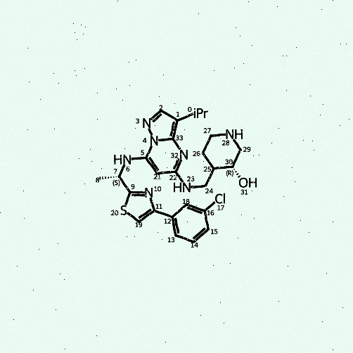 CC(C)c1cnn2c(N[C@@H](C)c3nc(-c4cccc(Cl)c4)cs3)cc(NCC3CCNC[C@@H]3O)nc12